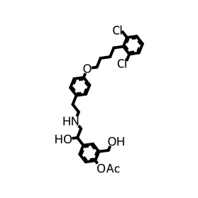 CC(=O)Oc1ccc(C(O)CNCCc2ccc(OCCCCc3c(Cl)cccc3Cl)cc2)cc1CO